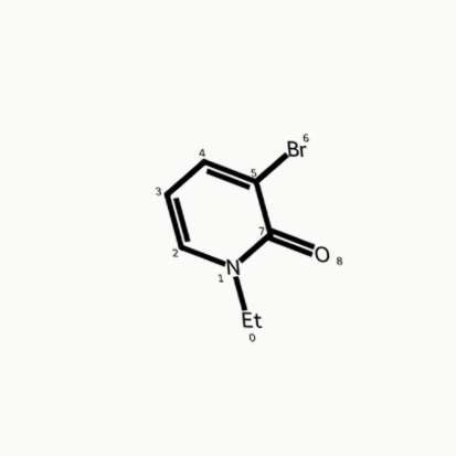 [CH2]Cn1cccc(Br)c1=O